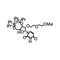 COCCOCCO[C@H]1C2O[Si](C(C)C)(C(C)C)O[Si](C(C)C)(C(C)C)OC[C@H]2O[C@H]1n1ccc(=O)[nH]c1=O